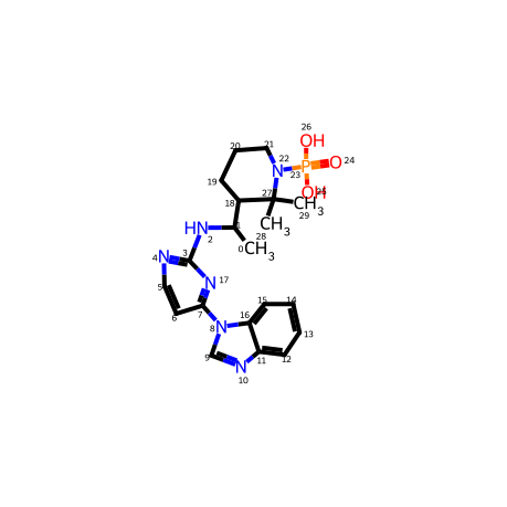 CC(Nc1nccc(-n2cnc3ccccc32)n1)C1CCCN(P(=O)(O)O)C1(C)C